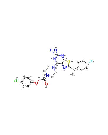 CCC(c1ccc(F)cc1)c1nc2c(N3CCN(C(=O)COc4ccc(Cl)cc4)CC3)nc(N)nc2s1